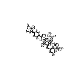 COC(=O)Nc1ccc(C(=O)COC(=O)C(Cc2cccc(C(=O)OC)c2)NC(=O)OC(C)(C)C)cc1